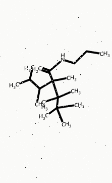 C=C(NCCC)C(C)(C(C)C(C)C)C(C)(C)C(C)(C)C